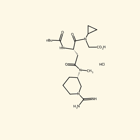 CCCCC(=O)N[C@@H](CC(=O)N(C)[C@H]1CCCN(C(=N)N)C1)C(=O)N(CC(=O)O)C1CC1.Cl